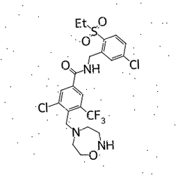 CCS(=O)(=O)c1ccc(Cl)cc1CNC(=O)c1cc(Cl)c(CN2CCNOCC2)c(C(F)(F)F)c1